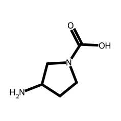 NC1CCN(C(=O)O)C1